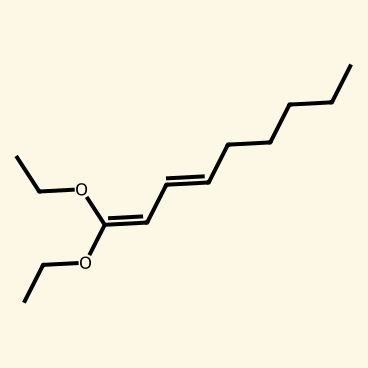 CCCCC/C=C/C=C(OCC)OCC